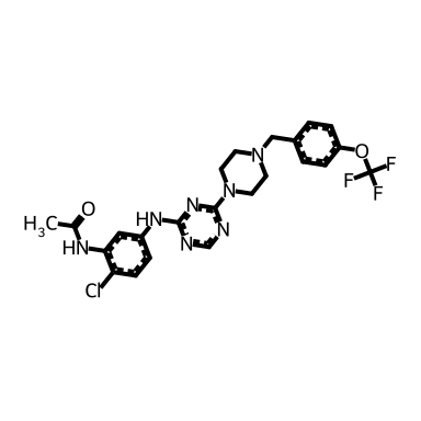 CC(=O)Nc1cc(Nc2ncnc(N3CCN(Cc4ccc(OC(F)(F)F)cc4)CC3)n2)ccc1Cl